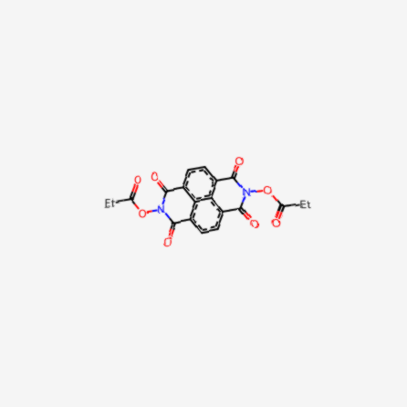 CCC(=O)ON1C(=O)c2ccc3c4c(ccc(c24)C1=O)C(=O)N(OC(=O)CC)C3=O